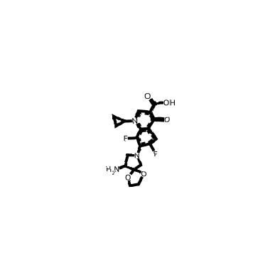 NC1CN(c2c(F)cc3c(=O)c(C(=O)O)cn(C4CC4)c3c2F)CC12OCCO2